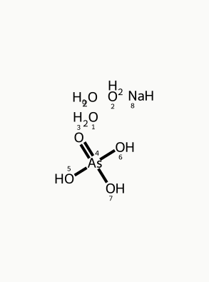 O.O.O.O=[As](O)(O)O.[NaH]